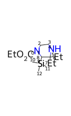 CCOC(=O)N1CCNC(CC)(CC)C1[Si](C)(C)C